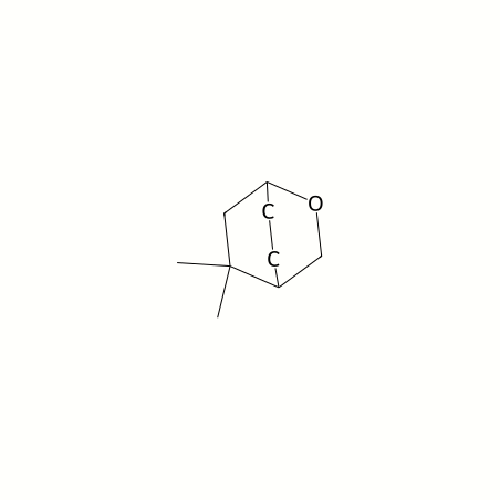 CC1(C)CC2CCC1CO2